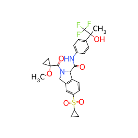 COC1(C(=O)N2Cc3cc(S(=O)(=O)C4CC4)ccc3C2C(=O)Nc2ccc(C(C)(O)C(F)(F)F)cc2)CC1